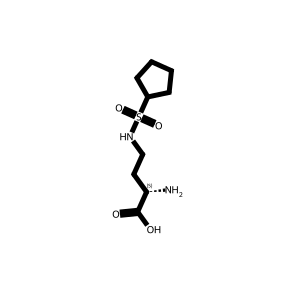 N[C@@H](CCNS(=O)(=O)C1CCCC1)C(=O)O